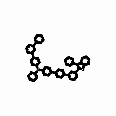 c1ccc(-c2cccc(-c3ccc(N(c4ccccc4)c4ccc(-c5ccc(-c6cccc(-c7oc8ccccc8c7-c7ccccc7)c6)cc5)cc4)cc3)c2)cc1